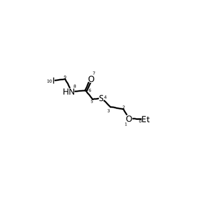 CCOCCSCC(=O)NCI